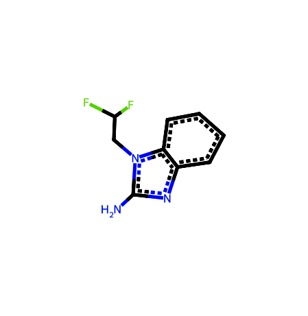 Nc1nc2ccccc2n1CC(F)F